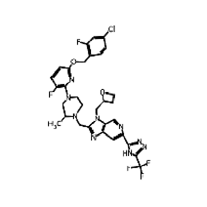 C[C@H]1CN(c2nc(OCc3ccc(Cl)cc3F)ccc2F)CCN1Cc1nc2cc(-c3nnc(C(F)(F)F)[nH]3)ncc2n1C[C@@H]1CCO1